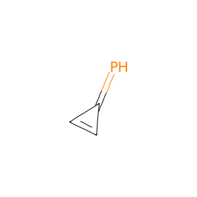 P=c1cc1